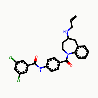 C=CCNC1CCN(C(=O)c2ccc(NC(=O)c3cc(Cl)cc(Cl)c3)cc2)c2ccccc2C1